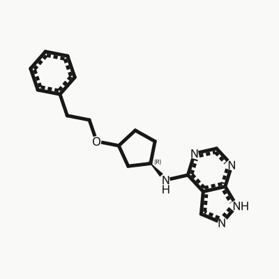 c1ccc(CCOC2CC[C@@H](Nc3ncnc4[nH]ncc34)C2)cc1